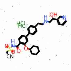 Cl.Cl.N#CCS(=O)(=O)NC(=O)c1ccc(-c2ccc(CCNC[C@H](O)c3cccnc3)cc2)cc1OC1CCCCC1